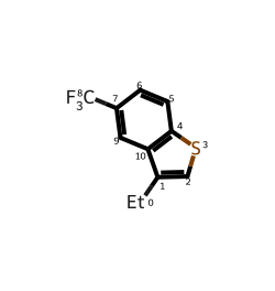 CCc1csc2ccc(C(F)(F)F)cc12